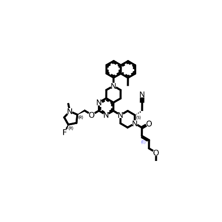 COC/C=C/C(=O)N1CCN(c2nc(OC[C@H]3C[C@@H](F)CN3C)nc3c2CCN(c2cccc4cccc(C)c24)C3)C[C@@H]1CC#N